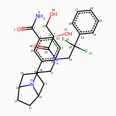 NC(=O)c1cccc(C2CC3CCC(C2)N3CCN(CC(F)(F)c2ccccc2)C(=O)[C@@H](O)CO)c1